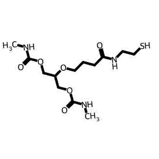 CNC(=O)OCC(COC(=O)NC)OCCCC(=O)NCCS